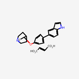 O=C(O)C=CC(=O)O.c1cc2cc(-c3ccc(OC4CN5CCC4CC5)cc3)ccc2[nH]1